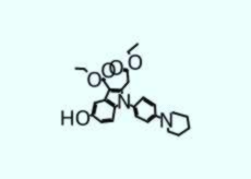 CCOC(=O)Cc1c(C(=O)OCC)c2cc(O)ccc2n1-c1ccc(N2CCCCC2)cc1